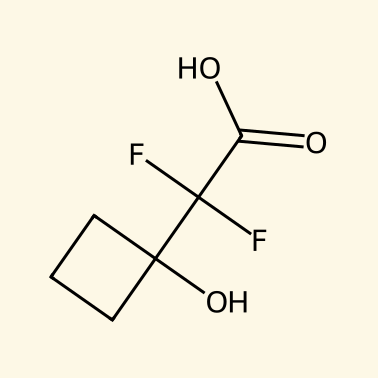 O=C(O)C(F)(F)C1(O)CCC1